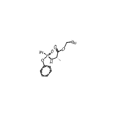 CCC(C)COC(=O)[C@H](C)N[P@@](=O)(Oc1ccccc1)C(C)C